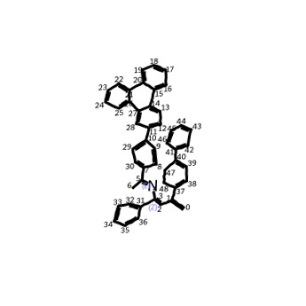 C=C(/C=C(\N=C(/C)c1ccc(-c2ccc3c4ccccc4c4ccccc4c3c2)cc1)c1ccccc1)C1=CC=C(c2ccccc2)CC1